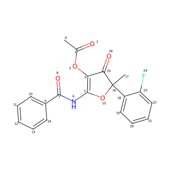 CC(=O)OC1=C(NC(=O)c2ccccc2)OC(C)(c2ccccc2F)C1=O